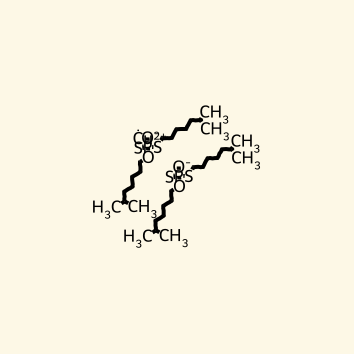 CC(C)CCCCCOP([O-])(=S)SCCCCCC(C)C.CC(C)CCCCCOP([O-])(=S)SCCCCCC(C)C.[Cu+2]